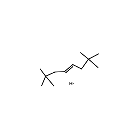 CC(C)(C)CC=CCC(C)(C)C.F